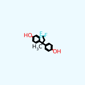 CC(CC(F)(F)F)(c1ccc(O)cc1)c1ccc(O)cc1